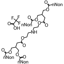 CCCCCCCCCC(=O)OCC(COC(=O)CCCCCCCCC)CC(=O)OCCNCCOC(=O)CC(COC(=O)CCCCCCCCC)COC(=O)CCCCCCCCC.O=C(O)C(F)(F)F